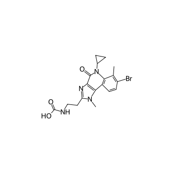 Cc1c(Br)ccc2c3c(nc(CCNC(=O)O)n3C)c(=O)n(C3CC3)c12